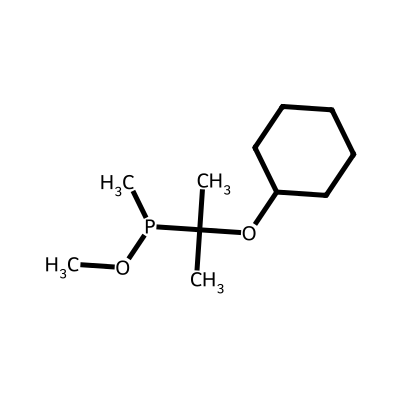 COP(C)C(C)(C)OC1CCCCC1